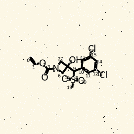 C=COC(=O)N1CC(O)(C(c2cc(Cl)cc(Cl)c2)S(C)(=O)=O)C1